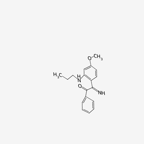 CCCNc1cc(OC)ccc1C(=N)C(=O)c1ccccc1